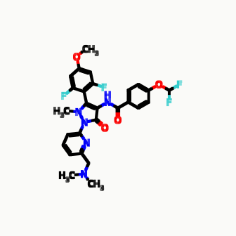 COc1cc(F)c(-c2c(NC(=O)c3ccc(OC(F)F)cc3)c(=O)n(-c3cccc(CN(C)C)n3)n2C)c(F)c1